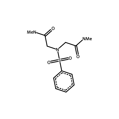 CNC(=O)CN(CC(=O)NC)S(=O)(=O)c1ccccc1